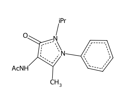 CC(=O)Nc1c(C)n(-c2ccccc2)n(C(C)C)c1=O